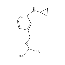 CC(C)OCc1cccc(NC2CC2)c1